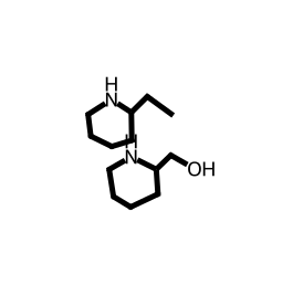 CCC1CCCCN1.OCC1CCCCN1